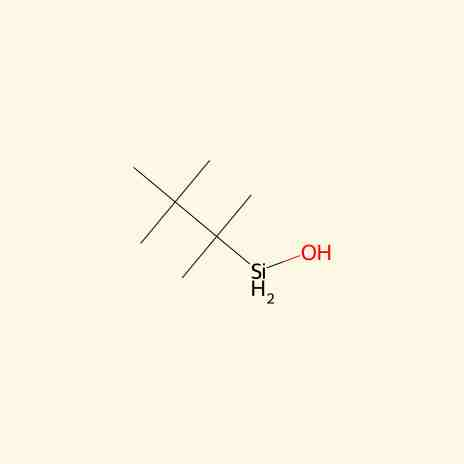 CC(C)(C)C(C)(C)[SiH2]O